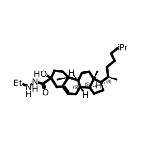 CCNNC(=O)C1(O)CC[C@@]2(C)C(=CC[C@H]3[C@@H]4CC[C@H]([C@H](C)CCCC(C)C)[C@@]4(C)CC[C@@H]32)C1